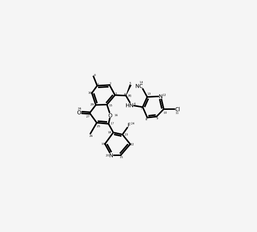 Cc1cc([C@@H](C)Nc2ccc(Cl)nc2C#N)c2oc(-c3cnccc3F)c(C)c(=O)c2c1